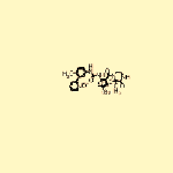 Cc1ccc(NC(=O)Nc2sc(C(C)(C)C)cc2C(=O)N2CCNC(=O)C2(C)C)cc1-c1cccc[n+]1[O-]